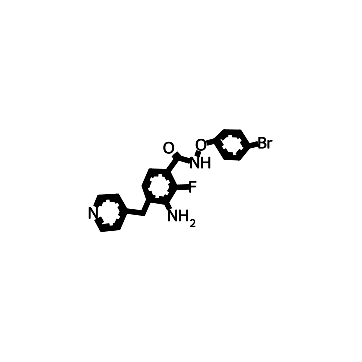 Nc1c(Cc2ccncc2)ccc(C(=O)NOc2ccc(Br)cc2)c1F